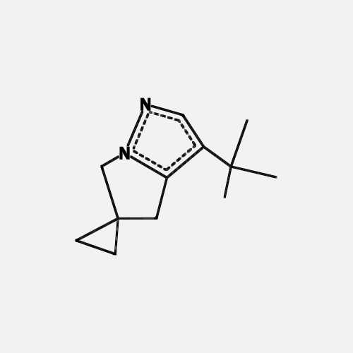 CC(C)(C)c1cnn2c1CC1(CC1)C2